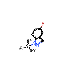 CC(C)[Si](C(C)C)(C(C)C)n1ncc2cc(Br)ccc21